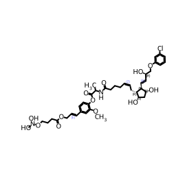 COc1cc(/C=C/COC(=O)CCCON(O)O)ccc1OC(=O)C(C)NC(=O)CCC/C=C\C[C@@H]1[C@@H](/C=C/[C@@H](O)COc2cccc(Cl)c2)[C@H](O)C[C@@H]1O